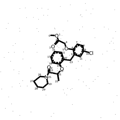 COC(=O)COc1ccc(Cl)cc1Cc1ccccc1OC(C)C(=O)N1CCCCC1